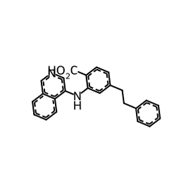 O=C(O)c1ccc(CCc2ccccc2)cc1Nc1cncc2ccccc12